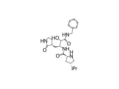 CC(C)[C@H]1CN[C@H](C(=O)N[C@@H](C[C@@H]2CCNC2=O)C(O)C(=O)NCc2ccccc2)C1